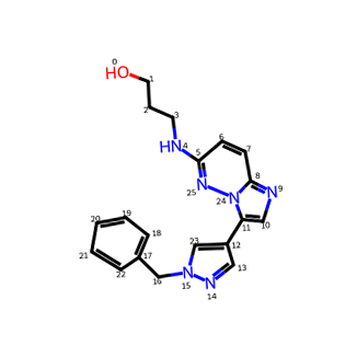 OCCCNc1ccc2ncc(-c3cnn(Cc4ccccc4)c3)n2n1